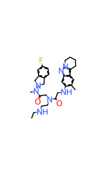 CCNCCN(CC(=O)N(C)N1Cc2ccc(F)cc2C1)C(=O)CNc1cc2nn3c(c2cc1C)CCCC3